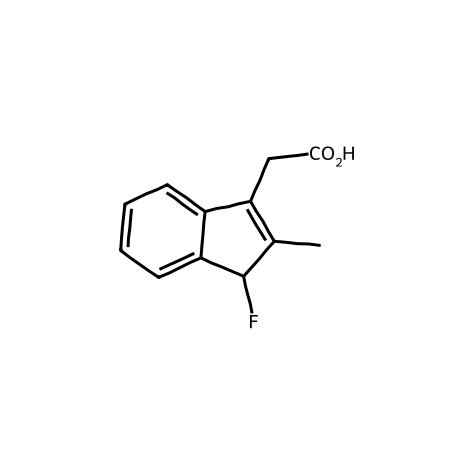 CC1=C(CC(=O)O)c2ccccc2C1F